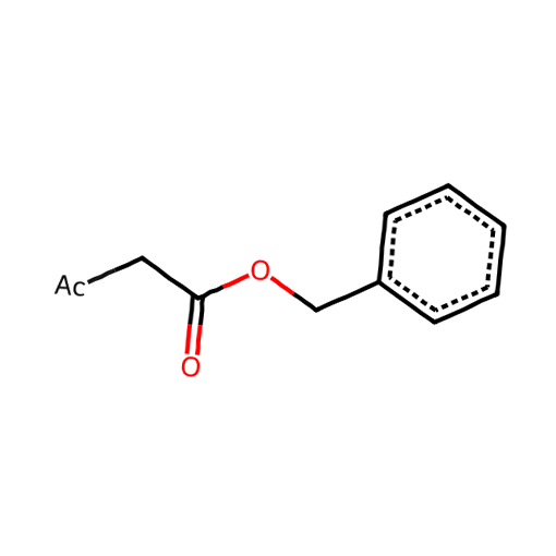 [CH2]C(=O)CC(=O)OCc1ccccc1